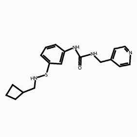 O=C(NCc1ccncc1)Nc1cccc(SNCC2CCC2)c1